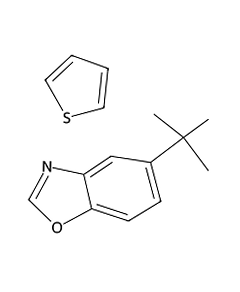 CC(C)(C)c1ccc2ocnc2c1.c1ccsc1